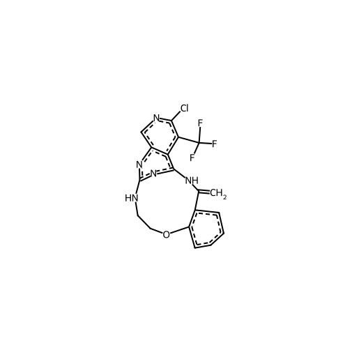 C=C1Nc2nc(nc3cnc(Cl)c(C(F)(F)F)c23)NCCOc2ccccc21